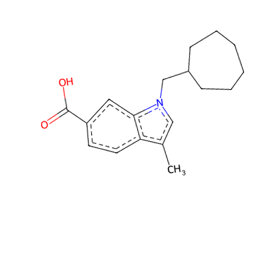 Cc1cn(CC2CCCCCC2)c2cc(C(=O)O)ccc12